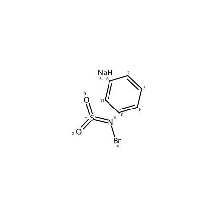 O=S(=O)=NBr.[NaH].c1ccccc1